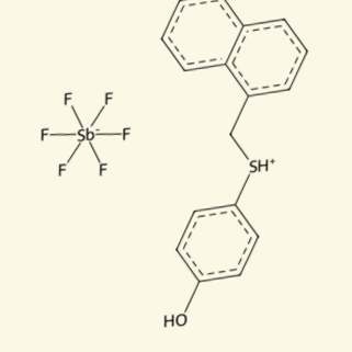 Oc1ccc([SH+]Cc2cccc3ccccc23)cc1.[F][Sb-]([F])([F])([F])([F])[F]